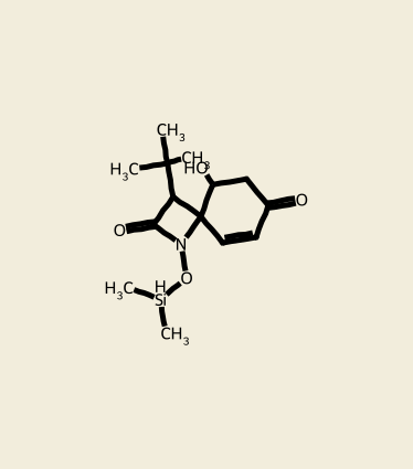 C[SiH](C)ON1C(=O)C(C(C)(C)C)C12C=CC(=O)CC2O